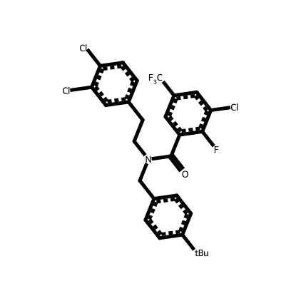 CC(C)(C)c1ccc(CN(CCc2ccc(Cl)c(Cl)c2)C(=O)c2cc(C(F)(F)F)cc(Cl)c2F)cc1